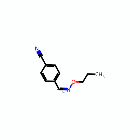 CCCO/N=[C]\c1ccc(C#N)cc1